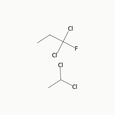 CC(Cl)Cl.CCC(F)(Cl)Cl